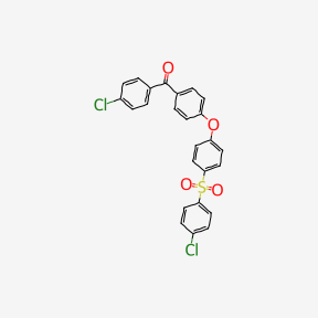 O=C(c1ccc(Cl)cc1)c1ccc(Oc2ccc(S(=O)(=O)c3ccc(Cl)cc3)cc2)cc1